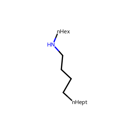 [CH2]CCCCCCCCCCNCCCCC[CH2]